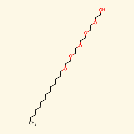 CCCCCCCCCCCCCCOCCOCCOCCOCCOCCO